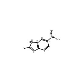 Cc1cc2ccc([N+](=O)[O-])cc2[nH]1